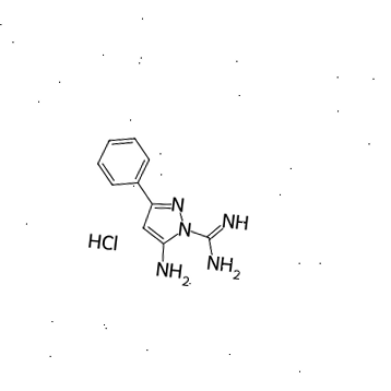 Cl.N=C(N)n1nc(-c2ccccc2)cc1N